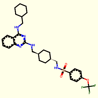 O=S(=O)(NC[C@H]1CC[C@H](CNc2nc(NCC3CCCCC3)c3ccccc3n2)CC1)c1ccc(OC(F)(F)F)cc1